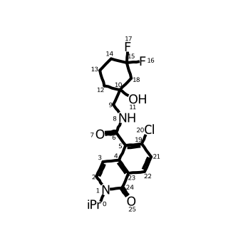 CC(C)n1ccc2c(C(=O)NCC3(O)CCCC(F)(F)C3)c(Cl)ccc2c1=O